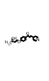 CN(C)CCOc1ccc(C(=O)C=Cc2ccncc2)cc1